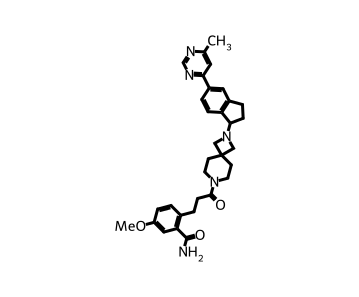 COc1ccc(CCC(=O)N2CCC3(CC2)CN(C2CCc4cc(-c5cc(C)ncn5)ccc42)C3)c(C(N)=O)c1